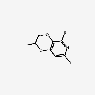 FC1COc2c(cc(I)nc2Br)O1